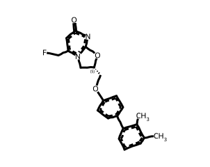 Cc1cccc(-c2ccc(OC[C@@H]3Cn4c(CF)cc(=O)nc4O3)cc2)c1C